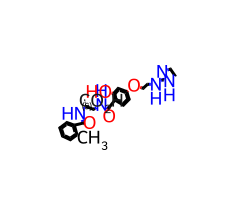 Cc1ccccc1C(=O)N[C@@H](CNC(=O)c1ccc(OCCNC2=NCCN2)cc1O)C(=O)O